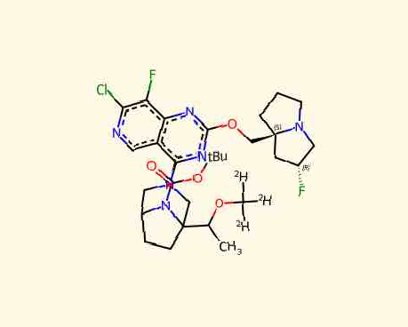 [2H]C([2H])([2H])OC(C)C12CCC(CN(c3nc(OC[C@@]45CCCN4C[C@H](F)C5)nc4c(F)c(Cl)ncc34)C1)N2C(=O)OC(C)(C)C